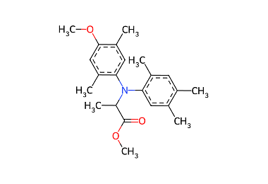 COC(=O)C(C)N(c1cc(C)c(C)cc1C)c1cc(C)c(OC)cc1C